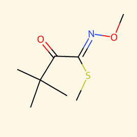 CON=C(SC)C(=O)C(C)(C)C